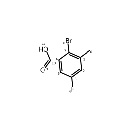 Cc1cc(F)ccc1Br.O=CO